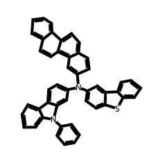 c1ccc(-n2c3ccccc3c3ccc(N(c4ccc5ccc6c7ccccc7ccc6c5c4)c4ccc5sc6ccccc6c5c4)cc32)cc1